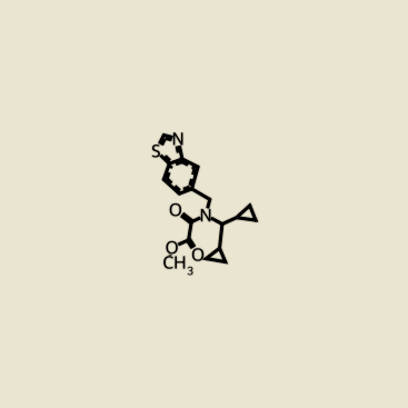 COC(=O)C(=O)N(Cc1ccc2scnc2c1)C(C1CC1)C1CC1